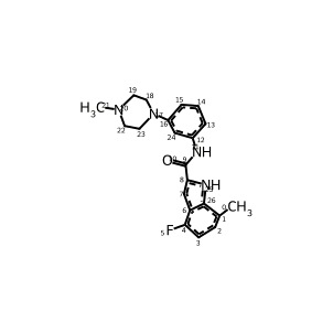 Cc1ccc(F)c2cc(C(=O)Nc3cccc(N4CCN(C)CC4)c3)[nH]c12